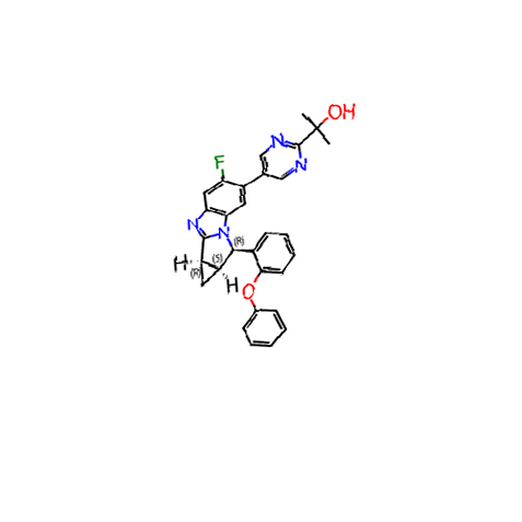 CC(C)(O)c1ncc(-c2cc3c(cc2F)nc2n3[C@@H](c3ccccc3Oc3ccccc3)[C@H]3C[C@@H]23)cn1